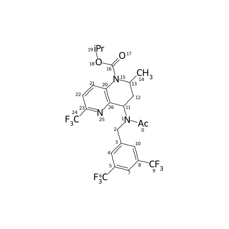 CC(=O)N(Cc1cc(C(F)(F)F)cc(C(F)(F)F)c1)C1CC(C)N(C(=O)OC(C)C)c2ccc(C(F)(F)F)nc21